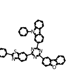 c1ccc(-c2nc3ccc(-c4nc(-c5ccc6oc7ccccc7c6c5)nc(-c5ccc6c7ccccc7n(-c7ccccc7)c6c5)n4)cc3s2)cc1